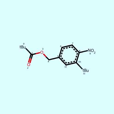 CC(C)(C)C(=O)OCc1ccc([N+](=O)[O-])c(C(C)(C)C)c1